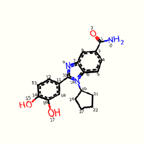 NC(=O)c1ccc2c(c1)nc(-c1ccc(O)c(O)c1)n2C1CCCC1